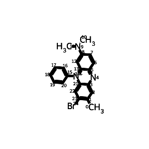 Cc1cc2nc3ccc(N(C)C)cc3[n+](-c3ccccc3)c2cc1Br